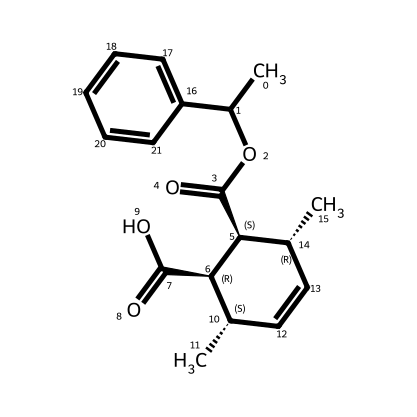 CC(OC(=O)[C@@H]1[C@H](C(=O)O)[C@@H](C)C=C[C@H]1C)c1ccccc1